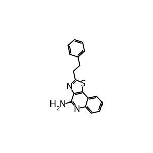 Nc1nc2ccccc2c2sc(CCc3ccccc3)nc12